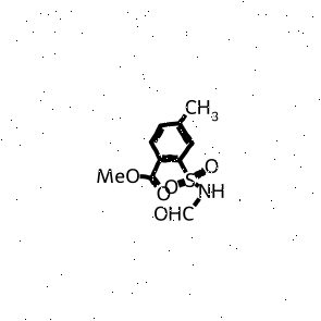 COC(=O)c1ccc(C)cc1S(=O)(=O)NC=O